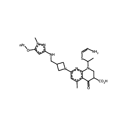 CCCOc1cc(NCC2CN(c3cc(C)c4c(n3)N(C(C)S/C=C\N)CC(C(=O)O)C4=O)C2)nn1C